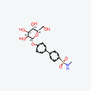 CNS(=O)(=O)c1ccc(-c2ccc(O[C@H]3O[C@H](CO)[C@@H](O)[C@H](O)[C@@H]3O)cc2)cc1